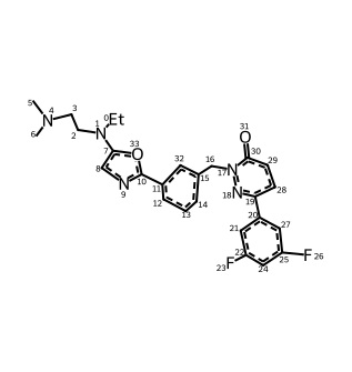 CCN(CCN(C)C)c1cnc(-c2cccc(Cn3nc(-c4cc(F)cc(F)c4)ccc3=O)c2)o1